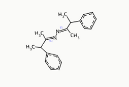 C/C(=N\N=C(/C)C(C)c1ccccc1)C(C)c1ccccc1